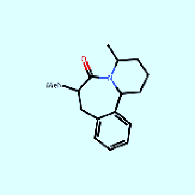 CNC1Cc2ccccc2C2CCCC(C)N2C1=O